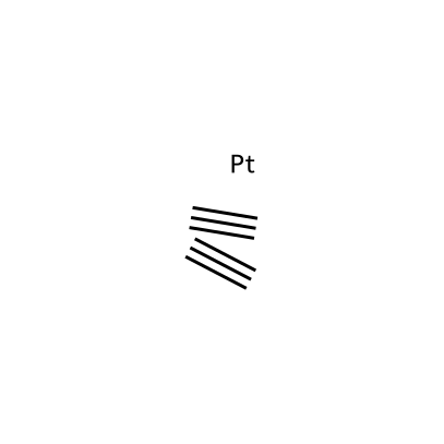 C#C.C#C.[Pt]